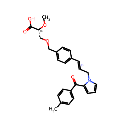 CO[C@H](COCc1ccc(/C=C/Cn2cccc2C(=O)c2ccc(C)cc2)cc1)C(=O)O